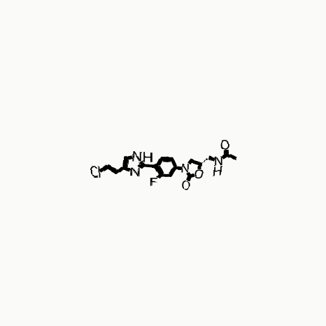 CC(=O)NC[C@H]1CN(c2ccc(-c3nc(C=CCl)c[nH]3)c(F)c2)C(=O)O1